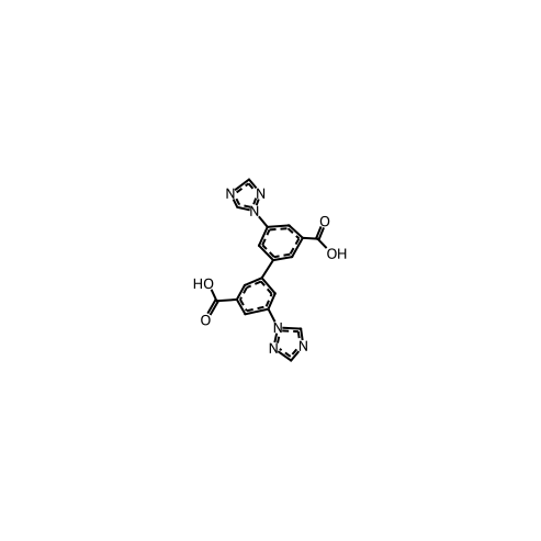 O=C(O)c1cc(-c2cc(C(=O)O)cc(-n3cncn3)c2)cc(-n2cncn2)c1